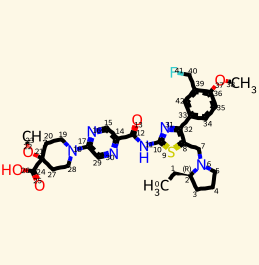 CC[C@@H]1CCCN1Cc1sc(NC(=O)c2cnc(N3CCC(OC)(C(=O)O)CC3)cn2)nc1-c1ccc(OC)c(CF)c1